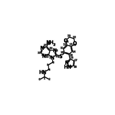 CC(C)NCCCn1c(Sc2cc3c(cc2-c2cc[nH]n2)OCCO3)nc2c(N)ncnc21